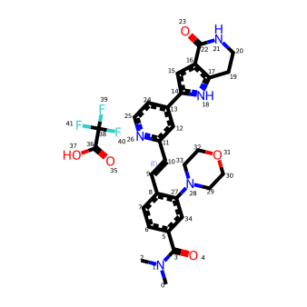 CN(C)C(=O)c1ccc(/C=C/c2cc(-c3cc4c([nH]3)CCNC4=O)ccn2)c(N2CCOCC2)c1.O=C(O)C(F)(F)F